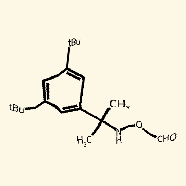 CC(C)(C)c1cc(C(C)(C)C)cc(C(C)(C)NOC=O)c1